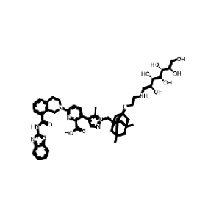 Cc1c(-c2ccc(N3CCc4cccc(C(=O)Nc5nc6ccccc6s5)c4C3)nc2C(=O)O)cnn1CC12CC3(C)CC(C)(C1)CC(OCCNC[C@H](O)[C@H](O)[C@@H](O)[C@H](O)[C@H](O)CO)(C3)C2